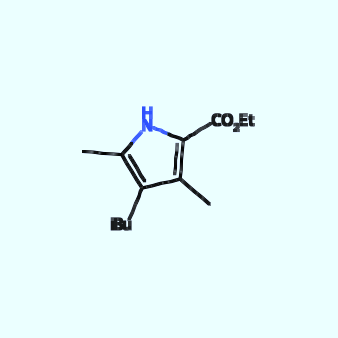 CCOC(=O)c1[nH]c(C)c(C(C)CC)c1C